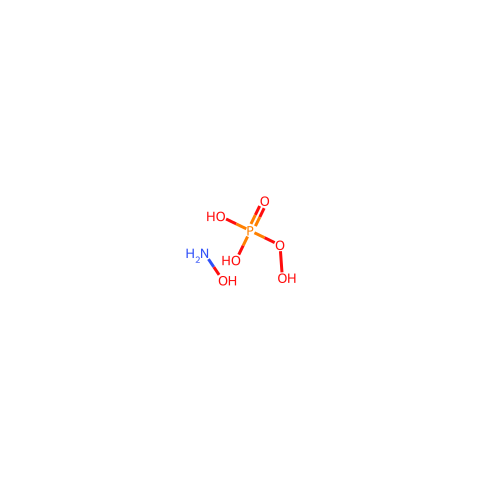 NO.O=P(O)(O)OO